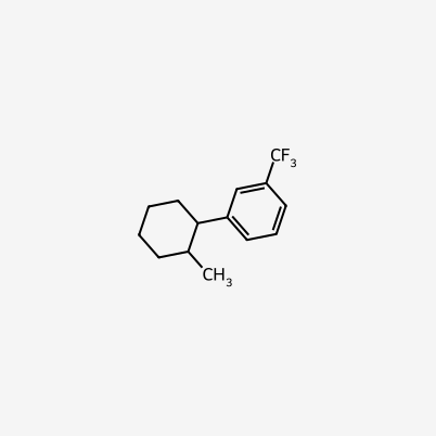 CC1CCCCC1c1cccc(C(F)(F)F)c1